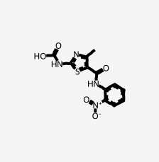 Cc1nc(NC(=O)O)sc1C(=O)Nc1ccccc1[N+](=O)[O-]